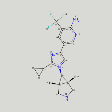 Nc1ncc(-c2cn([C@H]3[C@@H]4CNC[C@@H]43)c(C3CC3)n2)cc1C(F)(F)F